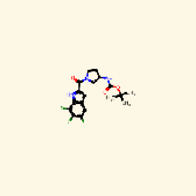 CC(C)(C)OC(=O)N[C@@H]1CCN(C(=O)c2cc3cc(F)c(F)c(F)c3[nH]2)C1